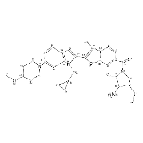 CCC1CN(C(=O)c2ccc3c(C)c(-c4cc5ccc(N6CCC(OC)CC6)cc5n4CC4CC4)oc3c2)C(C)C1N